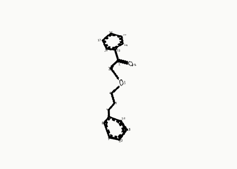 O=C(COCCCc1ccccc1)c1ccccc1